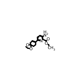 CCOC(=O)c1nc(C2=CCC3(CC2)OCCO3)ccc1N